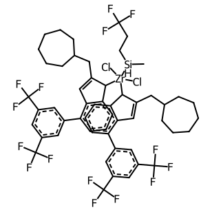 C[SiH](CCC(F)(F)F)[Zr]([Cl])([Cl])([CH]1C(CC2CCCCCC2)=Cc2c(-c3cc(C(F)(F)F)cc(C(F)(F)F)c3)cccc21)[CH]1C(CC2CCCCCC2)=Cc2c(-c3cc(C(F)(F)F)cc(C(F)(F)F)c3)cccc21